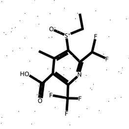 CC[S+]([O-])c1c(C(F)F)nc(C(F)(F)F)c(C(=O)O)c1C